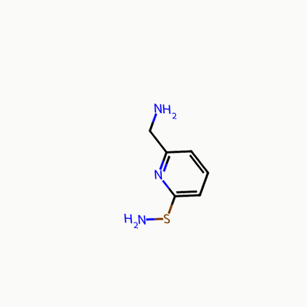 NCc1cccc(SN)n1